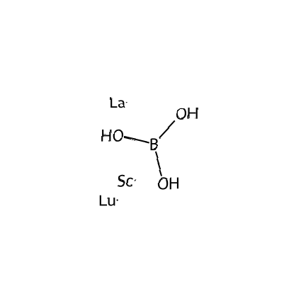 OB(O)O.[La].[Lu].[Sc]